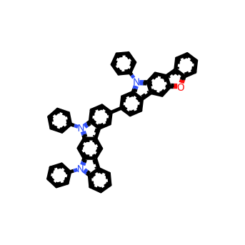 c1ccc(-n2c3cc(-c4ccc5c(c4)c4cc6c7ccccc7n(-c7ccccc7)c6cc4n5-c4ccccc4)ccc3c3cc4oc5ccccc5c4cc32)cc1